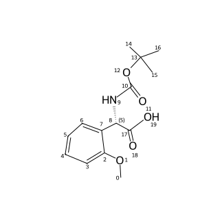 COc1ccccc1[C@H](NC(=O)OC(C)(C)C)C(=O)O